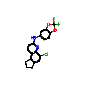 FC1(F)Oc2ccc(Nc3ccc4c5c(cc(Cl)c4n3)CCC5)cc2O1